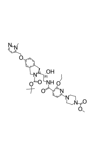 CCOc1nc(N2CCN(C(=O)OC)CC2)ccc1C(=O)NC[C@@H](O)[C@@H]1Cc2ccc(OCc3ccnn3C)cc2CN1C(=O)OC(C)(C)C